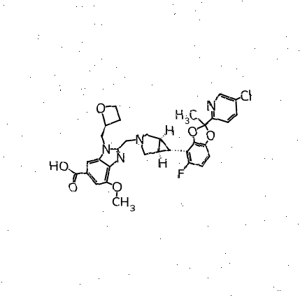 COc1cc(C(=O)O)cc2c1nc(CN1C[C@@H]3[C@H](C1)[C@H]3c1c(F)ccc3c1OC(C)(c1ccc(Cl)cn1)O3)n2C[C@@H]1CCO1